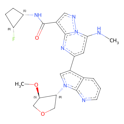 CNc1cc(-c2cn([C@@H]3COC[C@H]3OC)c3ncccc23)nc2c(C(=O)N[C@H]3CC[C@H]3F)cnn12